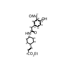 CCOC(=O)/C=C/[C@H]1CC[C@H](NC(=O)Cc2ccc(O)c(OC)c2)CC1